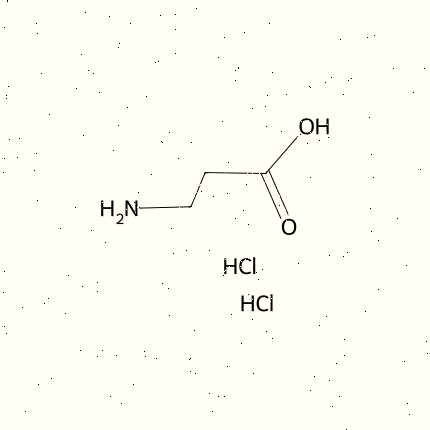 Cl.Cl.NCCC(=O)O